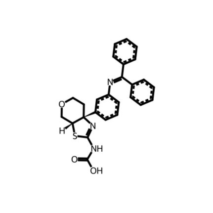 O=C(O)NC1=N[C@@]2(c3cccc(N=C(c4ccccc4)c4ccccc4)c3)CCOC[C@H]2S1